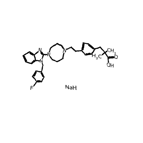 CC(C)(Cc1ccc(CCN2CCCN(c3nc4ccccc4n3Cc3ccc(F)cc3)CCC2)cc1)C(=O)O.[NaH]